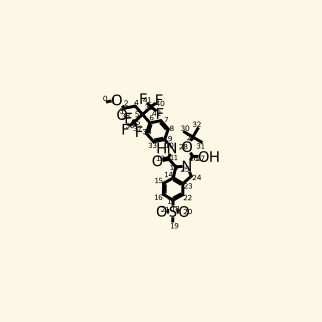 COC(=O)CC(c1ccc(NC(=O)C2c3ccc(S(C)(=O)=O)cc3CN2C(O)OC(C)(C)C)cc1)(C(F)(F)F)C(F)(F)F